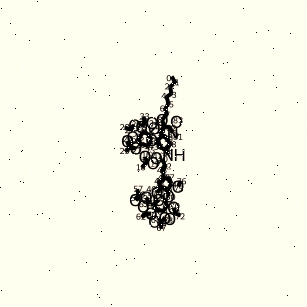 CCCCCCCCOc1c(O[C@H]2O[C@H](COC(C)=O)[C@@H](OC(C)=O)[C@H](OC(C)=O)[C@@H]2OC(C)=O)c2ccc(NC(=O)/C=C/c3cc(OC)c(O[C@@H]4O[C@H](COC(C)=O)[C@@H](OC(C)=O)[C@H](OC(C)=O)[C@@H]4OC(C)=O)c(OC)c3)cc2n(C)c1=O